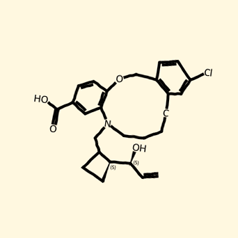 C=C[C@H](O)[C@H]1CCC1CN1CCCCc2cc(Cl)ccc2COc2ccc(C(=O)O)cc21